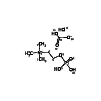 C[N+](C)(C)CCOP(=O)(O)O.Cl.O=C([O-])O